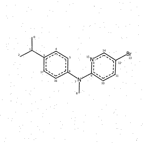 CC(C)c1ccc(N(C)c2ccc(Br)cn2)cc1